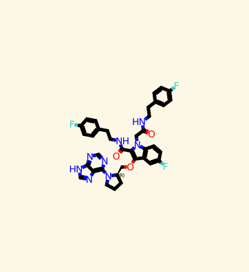 O=C(Cn1c(C(=O)NCCc2ccc(F)cc2)c(OC[C@H]2CCCN2c2ncnc3[nH]cnc23)c2cc(F)ccc21)NCCc1ccc(F)cc1